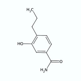 CCCc1ccc(C(N)=O)cc1O